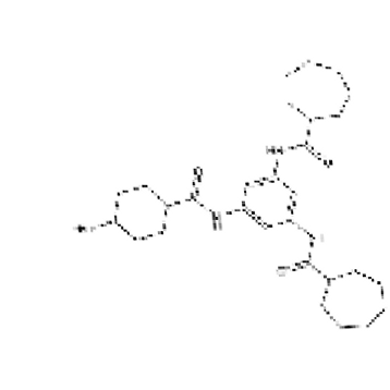 CC(C)(C)C1CCC(C(=O)Nc2cc(NC(=O)C3CCCCCC3)cc(NC(=O)C3CCCCCC3)c2)CC1